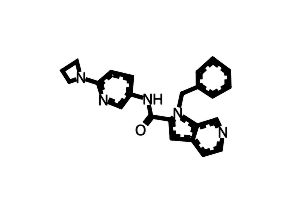 O=C(Nc1ccc(N2CCC2)nc1)c1cc2ccncc2n1Cc1ccccc1